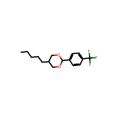 CCCCCC1COC(c2ccc(C(F)(F)F)cc2)OC1